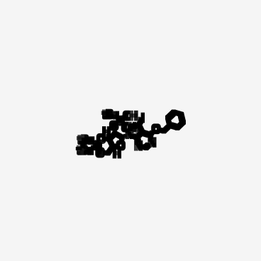 CC(C)(C)[Si](C)(C)O[C@@H]1[C@@H]2O[Si](C(C)(C)C)(C(C)(C)C)OC[C@H]2O[C@H]1n1cc(I)c2c(OCc3ccccc3)ncnc21